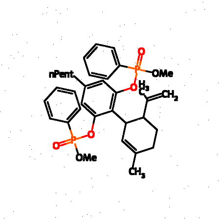 C=C(C)C1CCC(C)=CC1c1c(OP(=O)(OC)c2ccccc2)cc(CCCCC)cc1OP(=O)(OC)c1ccccc1